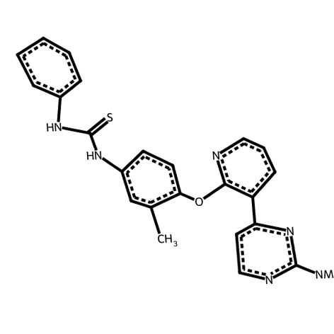 CNc1nccc(-c2cccnc2Oc2ccc(NC(=S)Nc3ccccc3)cc2C)n1